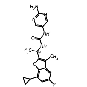 Cc1c([C@H](NC(=O)Nc2cnc(N)nc2)C(F)(F)F)oc2c(C3CC3)cc(F)cc12